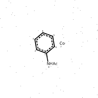 CC(=O)Nc1cc[c]cc1.[Co]